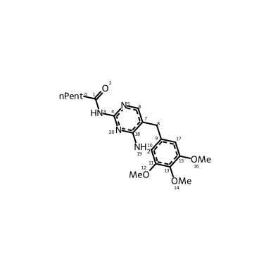 CCCCCC(=O)Nc1ncc(Cc2cc(OC)c(OC)c(OC)c2)c(N)n1